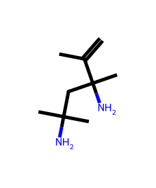 C=C(C)C(C)(N)CC(C)(C)N